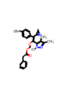 CCn1nc(C)c(C)c1/C(OCOC(=O)Cc1ccccc1)=C(/c1ccc(C(C)(C)C)cc1)C1C=N1